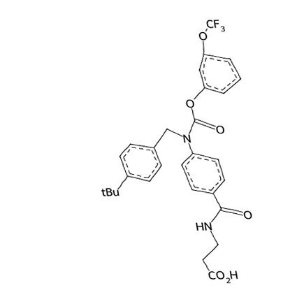 CC(C)(C)c1ccc(CN(C(=O)Oc2cccc(OC(F)(F)F)c2)c2ccc(C(=O)NCCC(=O)O)cc2)cc1